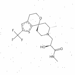 CNC(=O)[C@@H](O)CN1CC[C@]2(C[C@@H]1C)OCCc1cc(C(F)(F)F)sc12